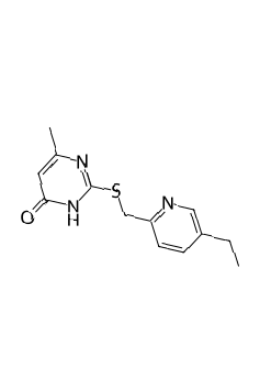 CCc1ccc(CSc2nc(C)cc(=O)[nH]2)nc1